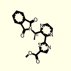 COC(=O)c1cnc(-c2nccnc2[C@@H](C)N2C(=O)c3ccccc3C2=O)s1